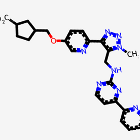 Cn1nnc(-c2ccc(OCC3CCC(C(=O)O)C3)cn2)c1CNc1nccc(-c2ccccn2)n1